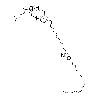 CCCCC/C=C\C/C=C\CCCCCCCCOCC(CCCCCCCCCCO[C@H]1CC[C@@]2(C)C(=CC[C@H]3[C@@H]4CC[C@H]([C@H](C)CCCC(C)C)[C@@]4(C)CC[C@@H]32)C1)N(C)C